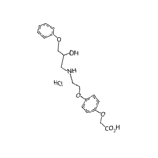 Cl.O=C(O)COc1ccc(OCCNCC(O)COc2ccccc2)cc1